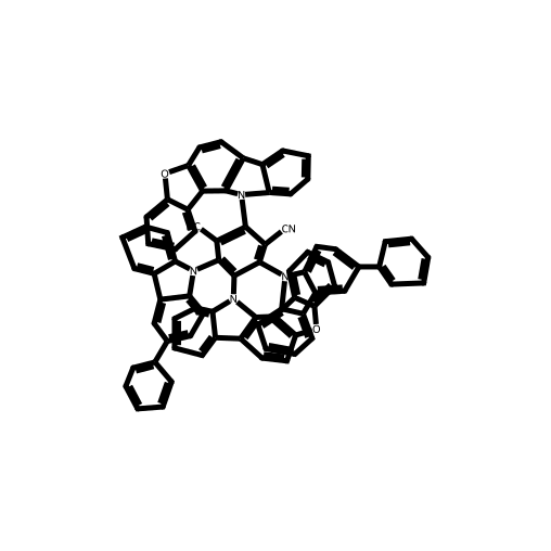 N#Cc1c(-n2c3ccccc3c3cc(-c4ccccc4)ccc32)c(-n2c3ccccc3c3ccc4oc5ccccc5c4c32)c(-n2c3ccccc3c3cc(-c4ccccc4)ccc32)c(C#N)c1-n1c2ccccc2c2ccc3oc4ccccc4c3c21